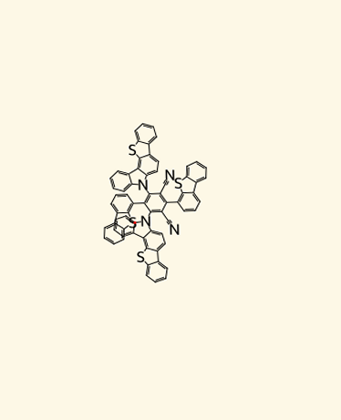 N#Cc1c(-c2cccc3c2sc2ccccc23)c(C#N)c(-n2c3ccccc3c3c4sc5ccccc5c4ccc32)c(-c2cccc3c2sc2ccccc23)c1-n1c2ccccc2c2c3sc4ccccc4c3ccc21